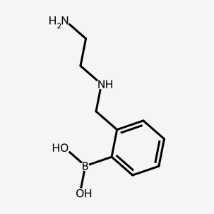 NCCNCc1ccccc1B(O)O